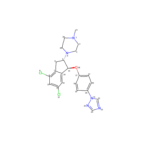 CN1CCN([C@H]2Cc3c(Cl)cc(Cl)cc3[C@@H]2Oc2ccc(-n3cncn3)cc2)CC1